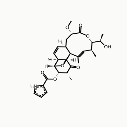 CO[C@H]1C[C@@H]2C=C[C@@H]3[C@@H]4O[C@@]2(/C(C)=C/[C@H](C)[C@@H]([C@@H](C)O)OC1=O)[C@H]3C(=O)[C@H](C)[C@@H]4OC(=O)c1ccc[nH]1